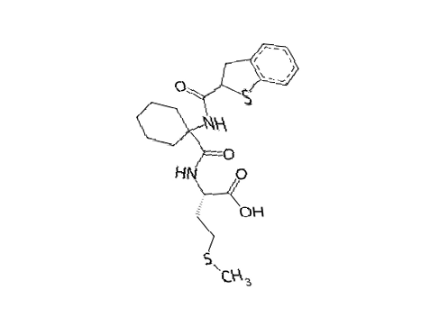 CSCC[C@H](NC(=O)C1(NC(=O)C2Cc3ccccc3S2)CCCCC1)C(=O)O